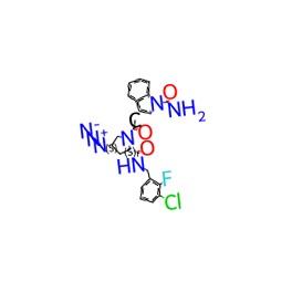 [N-]=[N+]=N[C@H]1C[C@@H](C(=O)NCc2cccc(Cl)c2F)N(C(=O)Cc2cn(C(N)=O)c3ccccc23)C1